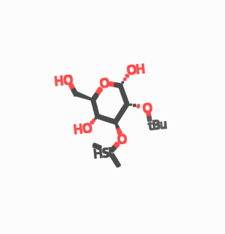 C[SiH](C)O[C@H]1[C@H](O)[C@@H](CO)O[C@H](O)[C@@H]1OC(C)(C)C